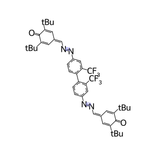 CC(C)(C)C1=CC(=C/N=N/c2ccc(-c3ccc(/N=N/C=C4C=C(C(C)(C)C)C(=O)C(C(C)(C)C)=C4)cc3C(F)(F)F)c(C(F)(F)F)c2)C=C(C(C)(C)C)C1=O